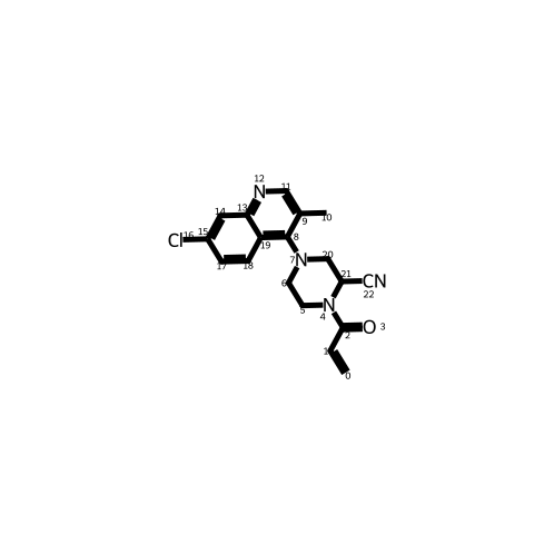 C=CC(=O)N1CCN(c2c(C)cnc3cc(Cl)ccc23)CC1C#N